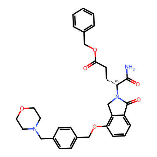 NC(=O)[C@@H](CCC(=O)OCc1ccccc1)N1Cc2c(OCc3ccc(CN4CCOCC4)cc3)cccc2C1=O